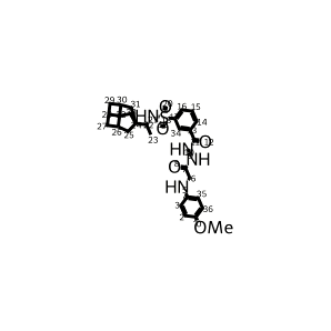 COc1ccc(NCC(=O)NNC(=O)c2cccc(S(=O)(=O)NC(C)C34CC5CC6CC(C3)C65C4)c2)cc1